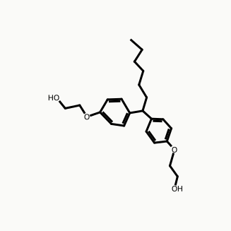 CCCCCCC(c1ccc(OCCO)cc1)c1ccc(OCCO)cc1